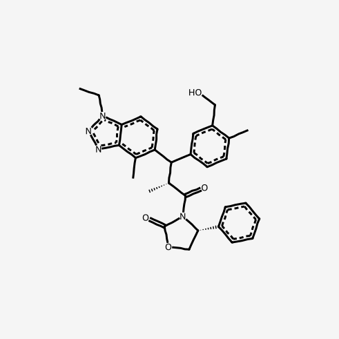 CCn1nnc2c(C)c(C(c3ccc(C)c(CO)c3)[C@@H](C)C(=O)N3C(=O)OC[C@H]3c3ccccc3)ccc21